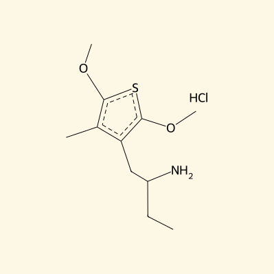 CCC(N)Cc1c(OC)sc(OC)c1C.Cl